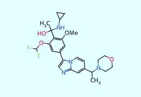 COc1cc(-c2cnc3cc(C(C)N4CCOCC4)ccn23)cc(OC(F)F)c1C(C)(O)NC1CC1